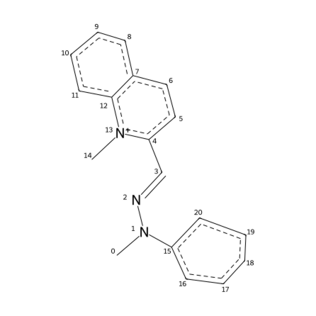 CN(N=Cc1ccc2ccccc2[n+]1C)c1ccccc1